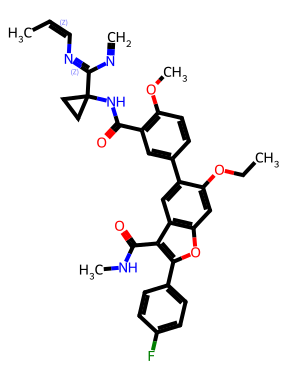 C=N/C(=N\C=C/C)C1(NC(=O)c2cc(-c3cc4c(C(=O)NC)c(-c5ccc(F)cc5)oc4cc3OCC)ccc2OC)CC1